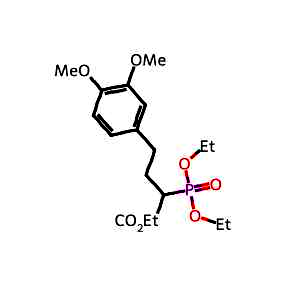 CCOC(=O)C(CCc1ccc(OC)c(OC)c1)P(=O)(OCC)OCC